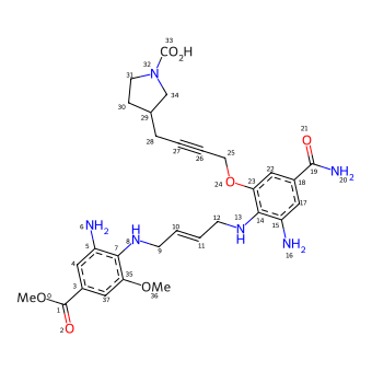 COC(=O)c1cc(N)c(NCC=CCNc2c(N)cc(C(N)=O)cc2OCC#CCC2CCN(C(=O)O)C2)c(OC)c1